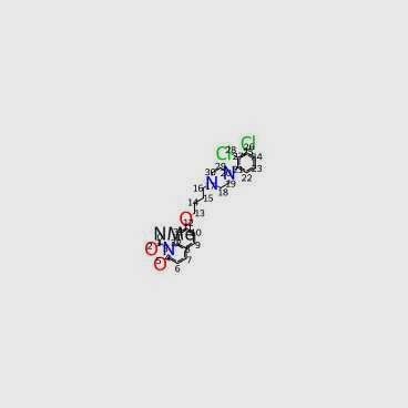 CNC(=O)n1c(=O)ccc2ccc(OCCCCN3CCN(c4cccc(Cl)c4Cl)CC3)cc21